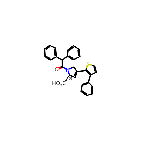 O=C(O)[C@@H]1C=C(c2sccc2-c2ccccc2)CN1C(=O)C(c1ccccc1)c1ccccc1